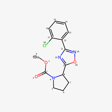 CC(C)(C)OC(=O)N1CCCC1c1nc(-c2ccccc2Cl)no1